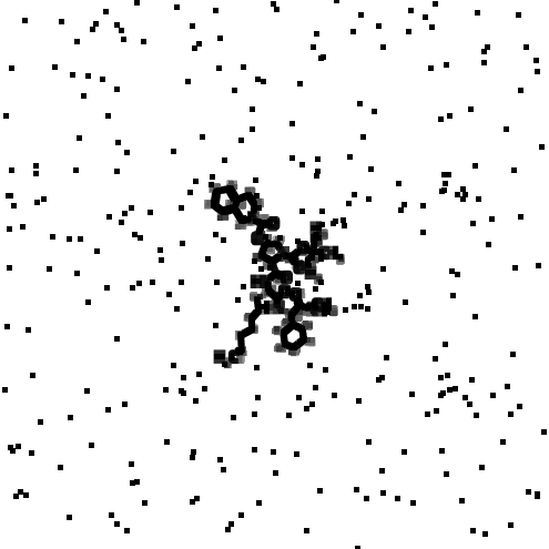 C=CCCCCC[C@H](NC(=O)[C@H]1C[C@H](OC(=O)N2CCc3ccccc3C2)CN1C(=O)OC(C)(C)C)C(=O)N[C@H](C(=O)NC)C1CCCCC1